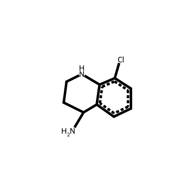 NC1CCNc2c(Cl)cccc21